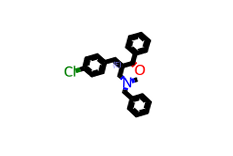 CN(C/C(=C\c1ccc(Cl)cc1)C(=O)c1ccccc1)Cc1ccccc1